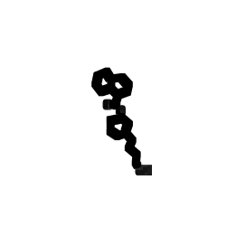 O=C(Oc1cccc(CCCCO)c1)c1cccc2ccccc12